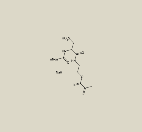 C=C(C)C(=O)OCCNC(=O)C(CS(=O)(=O)O)NC(=O)CCCCCCCCC.[NaH]